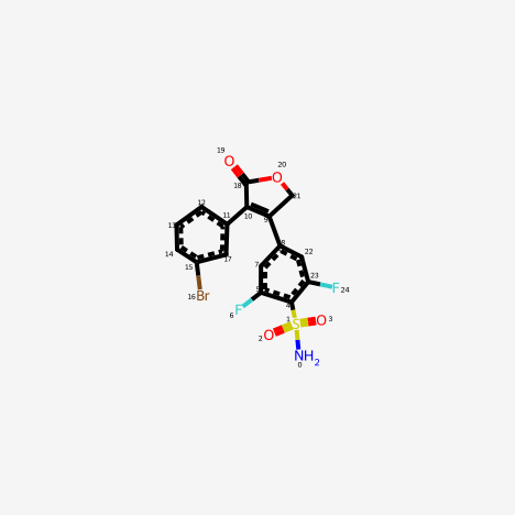 NS(=O)(=O)c1c(F)cc(C2=C(c3cccc(Br)c3)C(=O)OC2)cc1F